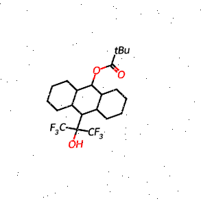 CC(C)(C)C(=O)OC1C2CCCCC2C(C(O)(C(F)(F)F)C(F)(F)F)C2CCCCC21